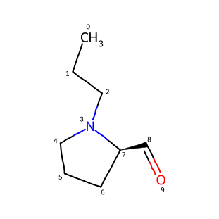 CCCN1CCC[C@@H]1C=O